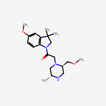 COC[C@H]1CN[C@H](C)CN1CC(=O)N1CC(C)(C)c2cc(OC)ccc21